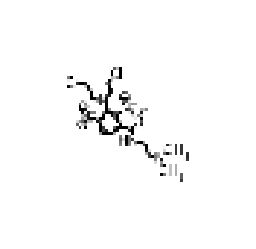 CN(C)CCNC(=O)c1ccc([N+](=O)[O-])c(N(CCCl)CCCl)c1[N+](=O)[O-]